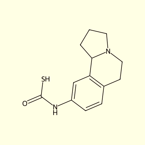 O=C(S)Nc1ccc2c(c1)C1CCCN1CC2